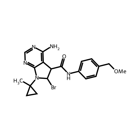 COCc1ccc(NC(=O)C2c3c(N)ncnc3N(C3(C)CC3)C2Br)cc1